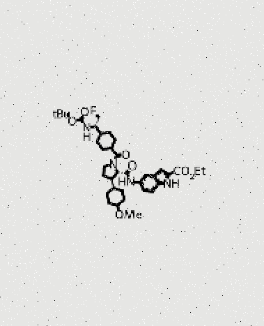 CCOC(=O)c1cc2cc(NC(=O)[C@@H]3[C@@H](C4CCC(OC)CC4)CCN3C(=O)C3CCC([C@@H](CF)NC(=O)OC(C)(C)C)CC3)ccc2[nH]1